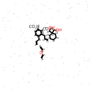 C=CCc1ccc(C(=O)O)c(C(=O)O)c1CC=C.C=COC=C.OCC1(CO)CCCCC1